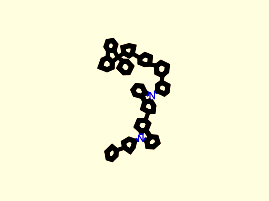 c1ccc(-c2ccc(-n3c4ccccc4c4cc(-c5ccc6c(c5)c5ccccc5n6-c5cccc(-c6cccc(-c7ccc(-c8cccc(C9(c%10ccccc%10)c%10ccccc%10-c%10ccccc%109)c8)cc7)c6)c5)ccc43)cc2)cc1